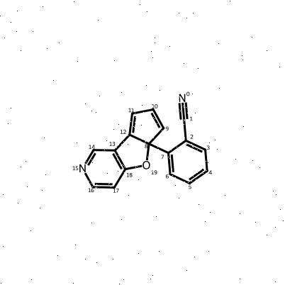 N#Cc1ccccc1C12C=CC=C1c1cnccc1O2